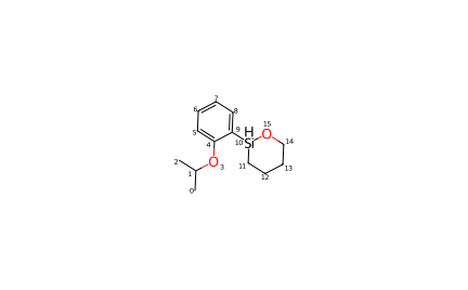 CC(C)Oc1ccccc1[SiH]1CCCCO1